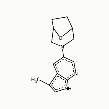 Cc1c[nH]c2ncc(N3CC4CCC(C3)O4)cc12